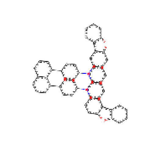 c1ccc(N(c2ccc(-c3cccc4cccc(-c5ccc(N(c6ccccc6)c6ccc7oc8ccccc8c7c6)cc5)c34)cc2)c2ccc3oc4ccccc4c3c2)cc1